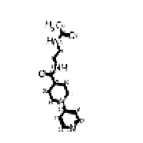 CC(=O)NCCNC(=O)C1CCN(c2ccncc2)CC1